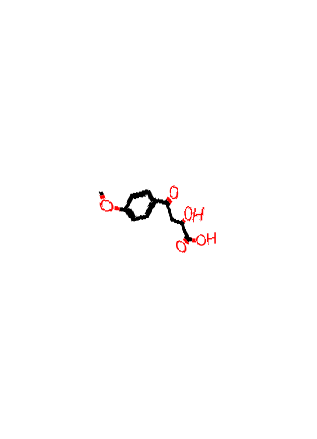 COc1ccc(C(=O)CC(O)C(=O)O)cc1